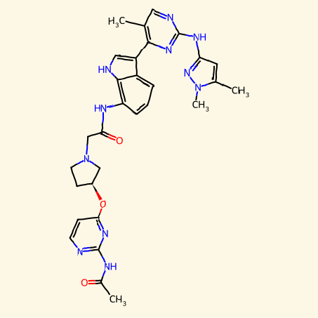 CC(=O)Nc1nccc(O[C@H]2CCN(CC(=O)Nc3cccc4c(-c5nc(Nc6cc(C)n(C)n6)ncc5C)c[nH]c34)C2)n1